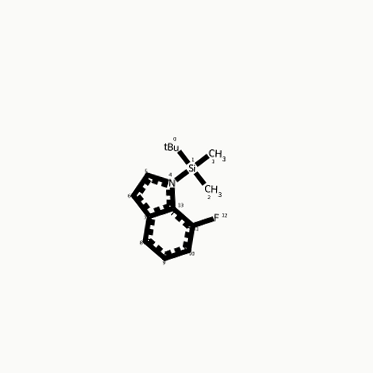 CC(C)(C)[Si](C)(C)n1ccc2cccc(F)c21